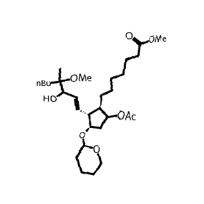 CCCCC(C)(OC)C(O)/C=C/[C@H]1[C@H](OC2CCCCO2)CC(OC(C)=O)[C@@H]1CCCCCCC(=O)OC